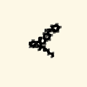 CCCCOCC(C)(O)[C@H](CC1CCC(Nc2ccccc2)CC1)C(=O)N1CCSC1